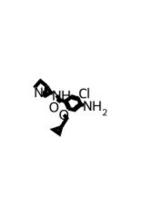 Nc1cc(OCC2CC2)c(C(=O)NC2CN3CCC2C3)cc1Cl